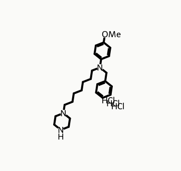 COc1ccc(N(CCCCCCCN2CCNCC2)Cc2ccccc2)cc1.Cl.Cl.Cl